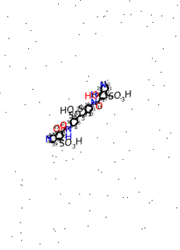 O=C(Nc1ccc(/C=C/c2ccc(NC(=O)c3cc(S(=O)(=O)O)c4ccncc4c3O)cc2S(=O)(=O)O)c(S(=O)(=O)O)c1)c1cc(S(=O)(=O)O)c2ccncc2c1O